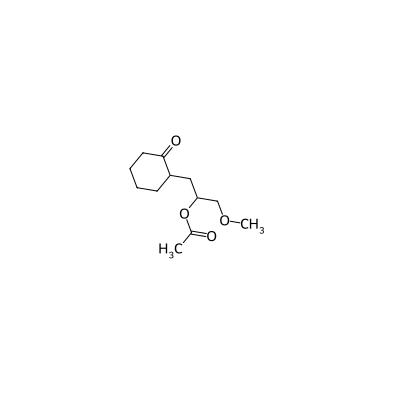 COCC(CC1CCCCC1=O)OC(C)=O